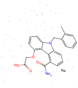 Cc1ccccc1Cn1c2cccc(OCC(=O)O)c2c2c(C(N)=O)cccc21.[Na]